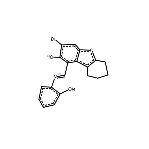 Oc1ccccc1/N=C/c1c(O)c(Br)cc2oc3c(c12)CCCC3